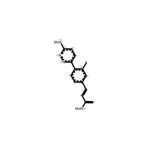 C=C(/C=C/c1ccc(-c2ccc(NC)nn2)c(C)c1)NC